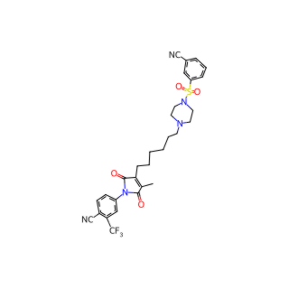 CC1=C(CCCCCCN2CCN(S(=O)(=O)c3cccc(C#N)c3)CC2)C(=O)N(c2ccc(C#N)c(C(F)(F)F)c2)C1=O